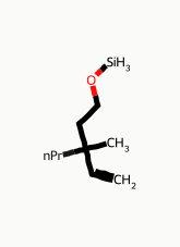 C=CC(C)(CCC)CCO[SiH3]